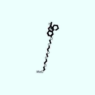 COCCOCCOCCOCCOCCOc1ccc2c(c1)[C@@]13CCCC[C@H]1[C@@H](C2)N(C)CC3